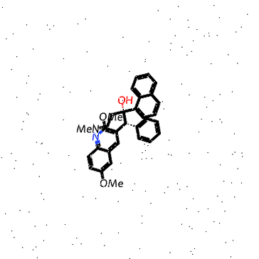 CNCC[C@@](O)(c1cccc2ccccc12)[C@H](c1ccccc1)c1cc2cc(OC)ccc2nc1OC